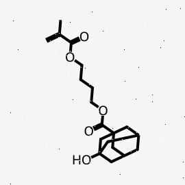 C=C(C)C(=O)OCCCCOC(=O)C12CC3CC(CC(O)(C3)C1)C2